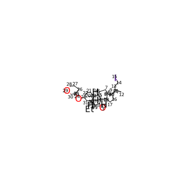 CC[C@H]1C(=O)[C@@H]2[C@H](CC[C@]3(C)[C@@H]([C@H](C)CCI)CC[C@@H]23)[C@@]2(C)CCC(O[C@@H]3CCCOC3)C[C@@H]12